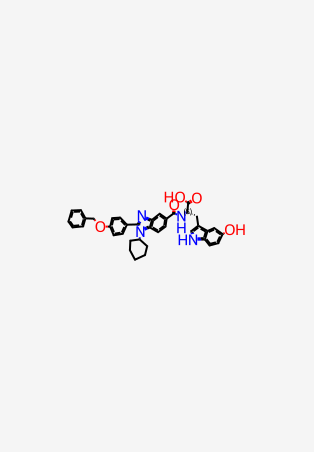 O=C(N[C@@H](Cc1c[nH]c2ccc(O)cc12)C(=O)O)c1ccc2c(c1)nc(-c1ccc(OCc3ccccc3)cc1)n2C1CCCCC1